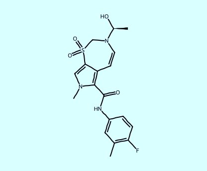 Cc1cc(NC(=O)c2c3c(cn2C)S(=O)(=O)CN([C@H](C)O)C=C3)ccc1F